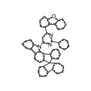 c1ccc(-c2nc(-c3cccc4oc5ccccc5c34)cc(-n3c4ccccc4c4ccc5c(c43)-c3ccccc3C53c4ccccc4-c4ccccc43)n2)cc1